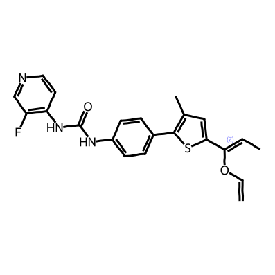 C=CO/C(=C\C)c1cc(C)c(-c2ccc(NC(=O)Nc3ccncc3F)cc2)s1